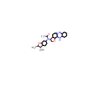 CC(=O)O[C@H]1c2ccc(N(C(=O)C(F)(F)F)[C@@H]3COc4c(Nc5ccccc5N)cccc43)cc2OC1C